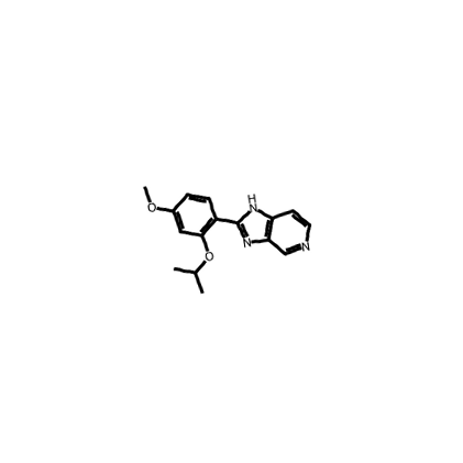 COc1ccc(-c2nc3cnccc3[nH]2)c(OC(C)C)c1